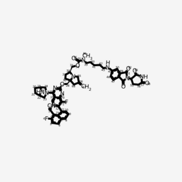 C#Cc1c(F)ccc2cccc(-c3ncc4c(N5CC6CCC(C5)N6)nc(OC[C@@]56CC[C@@H](COC(=O)N(C)CCCCCNc7ccc8c(c7)C(=O)N(C7CCC(=O)NC7=O)C8=O)N5CC(=C)C6)nc4c3F)c12